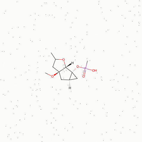 CO[C@@]12CC(C)O[C@@H]1[C@@]1(OP(C)(=O)O)C[C@H]1C2